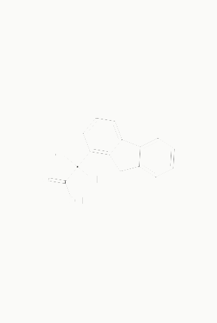 O=C(O)C(Cl)(Cl)c1cccc2c1Cc1ccccc1-2